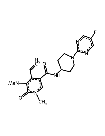 C=Cc1c(C(=O)NC2CCN(c3ncc(F)cn3)CC2)cn(C)c(=O)c1NC